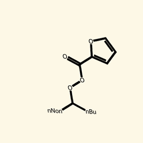 CCCCCCCCCC(CCCC)OOC(=O)c1ccco1